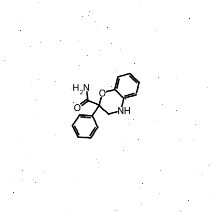 NC(=O)C1(c2ccccc2)CNc2ccccc2O1